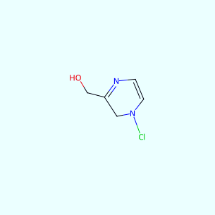 OCC1=NC=CN(Cl)C1